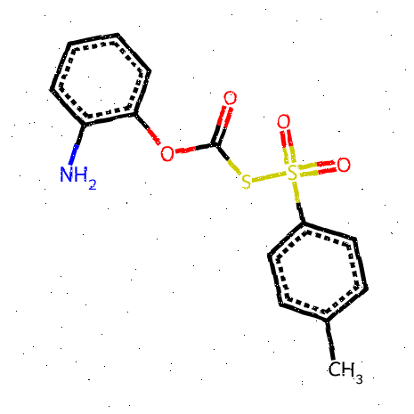 Cc1ccc(S(=O)(=O)SC(=O)Oc2ccccc2N)cc1